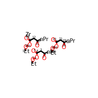 CCCC(=O)CC(=O)OOCC.CCCC(=O)CC(=O)OOCC.CCCC(=O)CC(=O)OOCC.[Zr]